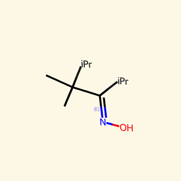 CC(C)/C(=N\O)C(C)(C)C(C)C